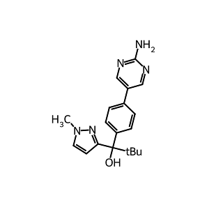 Cn1ccc(C(O)(c2ccc(-c3cnc(N)nc3)cc2)C(C)(C)C)n1